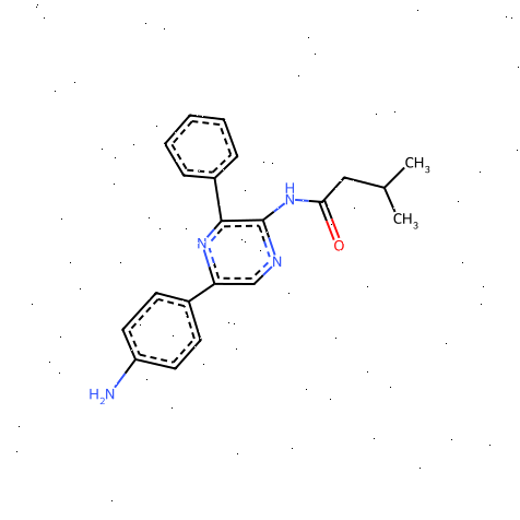 CC(C)CC(=O)Nc1ncc(-c2ccc(N)cc2)nc1-c1ccccc1